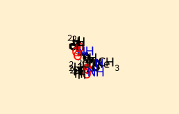 [2H]C1(OC(=O)Nc2ccc3c(c2)c(C([2H])([2H])c2ccc(C(=O)NS(=O)(=O)c4ccccc4C([2H])([2H])[2H])cc2OC)cn3C)CC([2H])([2H])C([2H])([2H])C1